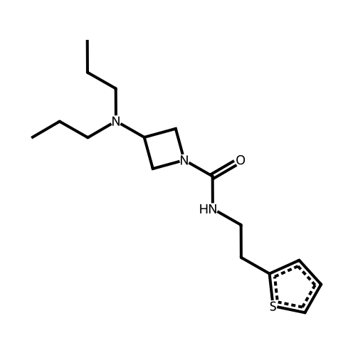 CCCN(CCC)C1CN(C(=O)NCCc2cccs2)C1